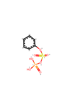 O=P(O)(O)OS(=O)(=O)Oc1ccccc1